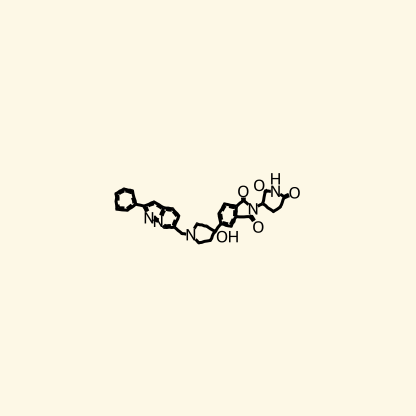 O=C1CCC(N2C(=O)c3ccc(C4(O)CCN(Cc5ccc6cc(-c7ccccc7)nn6c5)CC4)cc3C2=O)C(=O)N1